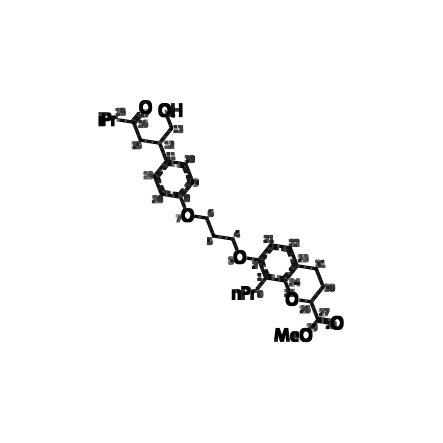 CCCc1c(OCCCOc2ccc(C(CO)CC(=O)C(C)C)cc2)ccc2c1OC(C(=O)OC)CC2